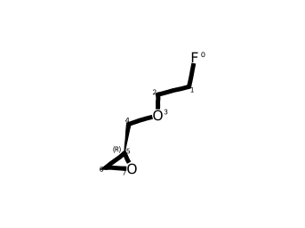 FCCOC[C@@H]1CO1